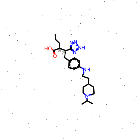 CCC[C@H](C(=O)O)[C@H](Cc1ccc(NCCC2CCN(C(C)C)CC2)cc1)c1nn[nH]n1